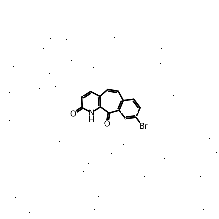 O=c1ccc2ccc3ccc(Br)cc3c(=O)c2[nH]1